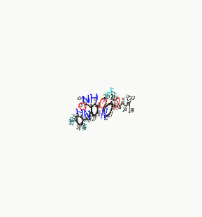 CNC(=O)c1cc(Oc2nccc(OCCCC(C)(C)C)c2C(F)(F)F)ccc1NCc1ccc(F)cc1F